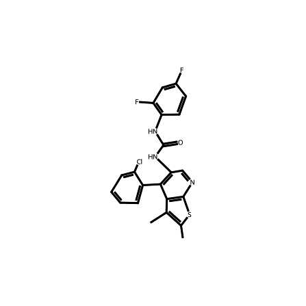 Cc1sc2ncc(NC(=O)Nc3ccc(F)cc3F)c(-c3ccccc3Cl)c2c1C